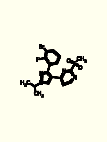 CC(C)n1cc(-c2ccnc(S(C)(=O)=O)n2)c(-c2cccc(Br)c2F)n1